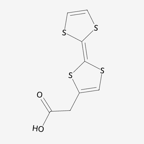 O=C(O)CC1=CSC(=C2SC=CS2)S1